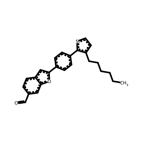 CCCCCCc1ccsc1-c1ccc(-c2cc3ccc(C=O)cc3o2)cc1